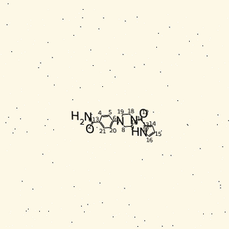 NC(=O)c1ccc(N2CCN(C(=O)c3ccc[nH]3)CC2)cc1